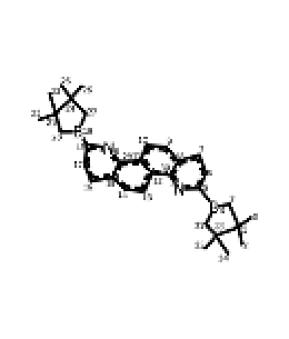 CC1(C)CB(c2ccc3ccc4c(ccc5ccc(B6CC(C)(C)C(C)(C)C6)nc54)c3n2)CC1(C)C